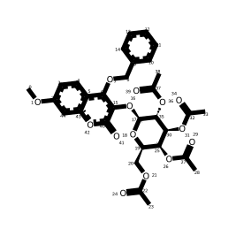 COc1ccc2c(OCc3ccccc3)c(O[C@@H]3O[C@H](COC(C)=O)[C@H](OC(C)=O)[C@H](OC(C)=O)[C@H]3OC(C)=O)c(=O)oc2c1